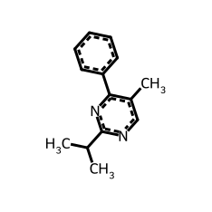 Cc1cnc(C(C)C)nc1-c1ccccc1